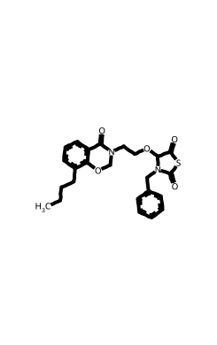 CCCCc1cccc2c1OCN(CCOC1C(=O)SC(=O)N1Cc1ccccc1)C2=O